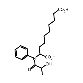 CC(O)C(=O)N(c1ccccc1)C(CCCCCCCC(=O)O)C(=O)O